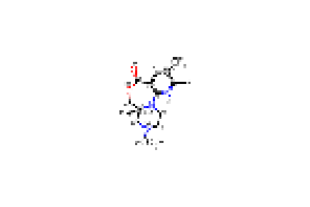 Cc1nc2c(cc1C(F)(F)F)C(=O)OC[C@H]1CN(C(=O)O)CCN21